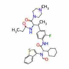 CCC(=O)N[C@@H](C(=O)N1CCN(C)CC1)[C@@H](C)c1ccc(NC(=O)[C@H](C2CCCCC2)N(C=O)c2csc3ccccc23)c(F)c1